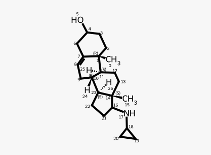 C[C@]12CCC(O)CC1=CC[C@@H]1[C@@H]2CC[C@]2(C)C(NC3CC3)CC[C@@H]12